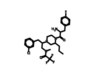 CCCC1CN(C(Cc2cccc(Cl)c2)CN(C)C(=O)C(F)(F)F)CCN1C(=O)C(N)Cc1ccc(F)cc1